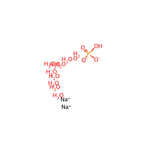 O.O.O.O.O.O.O.O.O.O.O=P([O-])([O-])O.[Na+].[Na+]